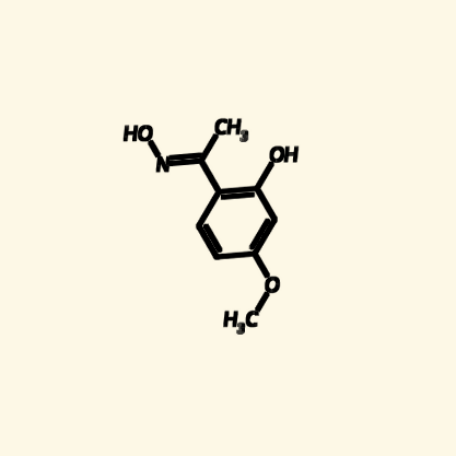 COc1ccc(C(C)=NO)c(O)c1